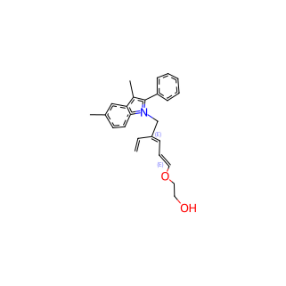 C=C/C(=C\C=C\OCCO)Cn1c(-c2ccccc2)c(C)c2cc(C)ccc21